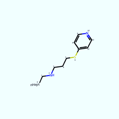 CCCCCCCCNCCCSc1ccncc1